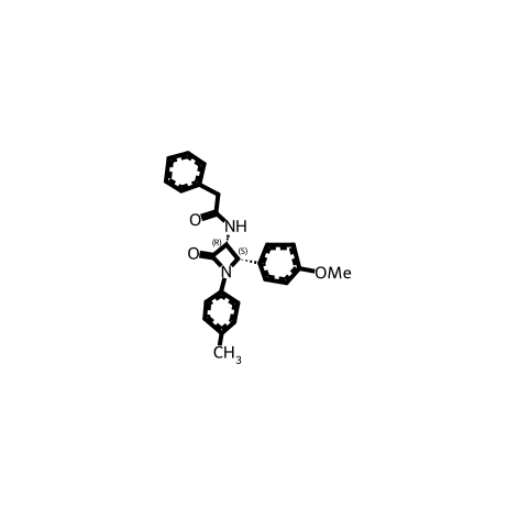 COc1ccc([C@H]2[C@@H](NC(=O)Cc3ccccc3)C(=O)N2c2ccc(C)cc2)cc1